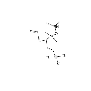 C=CCC(CC[Si](Cl)(Cl)Cl)[Si](C)(C)O[SiH](C)C